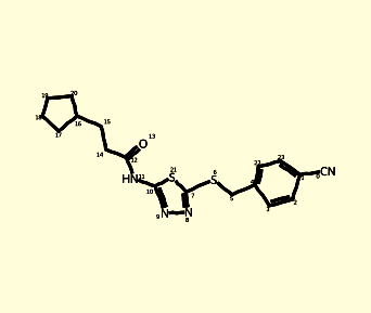 N#Cc1ccc(CSc2nnc(NC(=O)CCC3CCCC3)s2)cc1